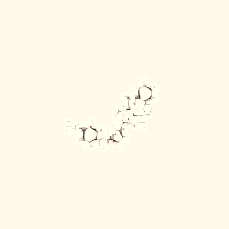 CN1C(=O)C(NC(=O)c2ccc(Oc3ccc(Br)cc3)o2)COc2ccccc21